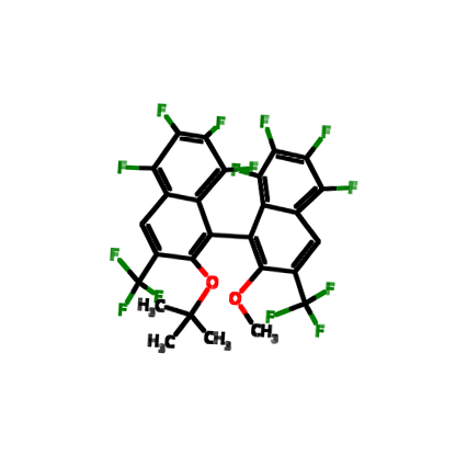 COc1c(C(F)(F)F)cc2c(F)c(F)c(F)c(F)c2c1-c1c(OC(C)(C)C)c(C(F)(F)F)cc2c(F)c(F)c(F)c(F)c12